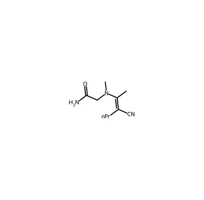 CCCC(C#N)=C(C)N(C)CC(N)=O